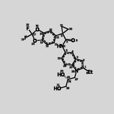 CCc1cc2cc(NC(=O)C3(c4ccc5c(c4)OC(F)(F)O5)CC3)ccc2n1C[C@@H](O)CO